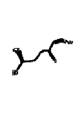 N=CC(=O)CCC(=O)O